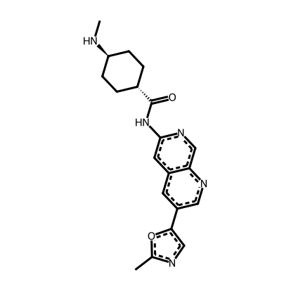 CN[C@H]1CC[C@H](C(=O)Nc2cc3cc(-c4cnc(C)o4)cnc3cn2)CC1